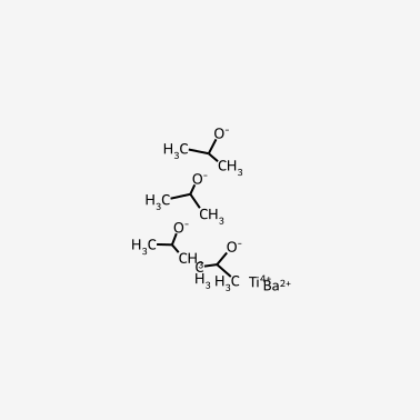 CC(C)[O-].CC(C)[O-].CC(C)[O-].CC(C)[O-].[Ba+2].[Ti+4]